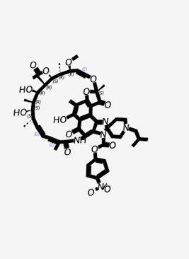 CO[C@H]1/C=C/O[C@@]2(C)Oc3c(C)c(O)c4c(c3C2=O)C2=NC3(CCN(CC(C)C)CC3)N(C(=O)Oc3ccc([N+](=O)[O-])cc3)C2=C(NC(=O)/C(C)=C\C=C\[C@H](C)[C@H](O)[C@@H](C)[C@@H](O)[C@@H](C)[C@H](OC(C)=O)[C@@H]1C)C4=O